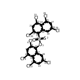 O=S(=S)(Oc1c(Cl)cc(Cl)c2c(Cl)cc(Cl)cc12)c1c(Cl)cc(Cl)c2c(Cl)cc(Cl)cc12